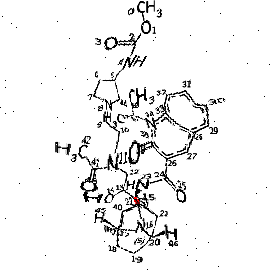 COC(=O)NC1CCN(CCN(CC(O)CN2[C@@H]3CC[C@H]2C[C@H](NC(=O)c2cc4ccccc4n(C(C)C)c2=O)C3)C(C)=O)C1